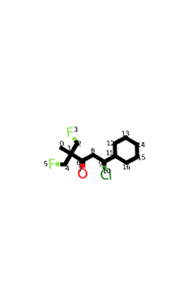 CC(CF)(CF)C(=O)CC(Cl)C1CCCCC1